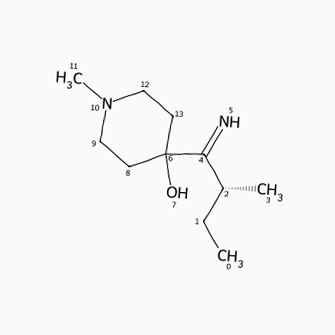 CC[C@@H](C)C(=N)C1(O)CCN(C)CC1